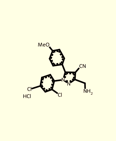 COc1ccc(-c2c(C#N)c(CN)nn2-c2ccc(Cl)cc2Cl)cc1.Cl